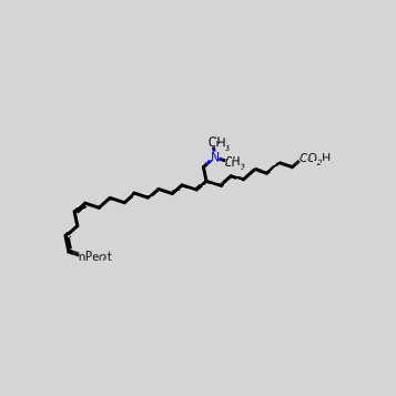 CCCCC/C=C\C/C=C\CCCCCCCCCC(CCCCCCCC(=O)O)CN(C)C